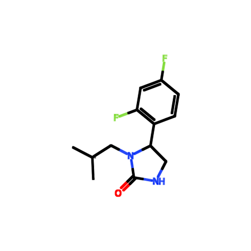 C[C](C)CN1C(=O)NCC1c1ccc(F)cc1F